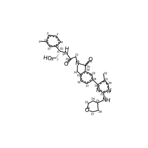 Cc1cccc([C@@H](CO)NC(=O)CN2Cc3ccc(-c4nc(NC5CCOCC5)ncc4C)cc3C2=O)c1